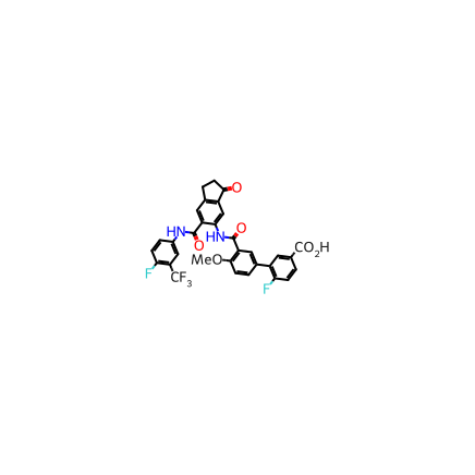 COc1ccc(-c2cc(C(=O)O)ccc2F)cc1C(=O)Nc1cc2c(cc1C(=O)Nc1ccc(F)c(C(F)(F)F)c1)CCC2=O